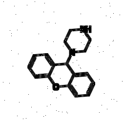 c1ccc2c(c1)Oc1ccccc1C2N1CCNCC1